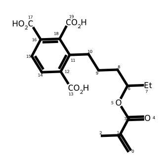 C=C(C)C(=O)OC(CC)CCCc1c(C(=O)O)ccc(C(=O)O)c1C(=O)O